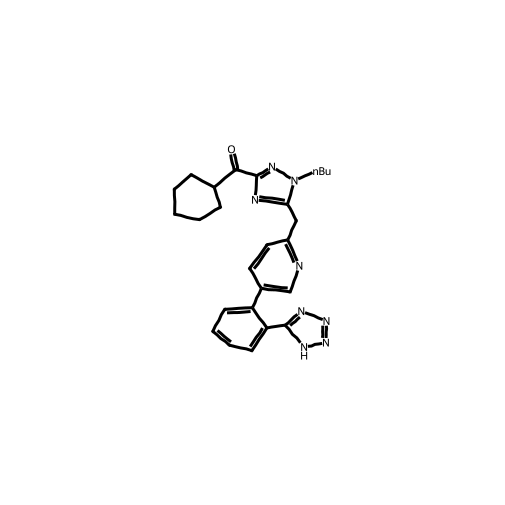 CCCCn1nc(C(=O)C2CCCCC2)nc1Cc1ccc(-c2ccccc2-c2nnn[nH]2)cn1